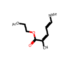 CNC=CC=C(C#N)C(=O)OCCOC(C)=O